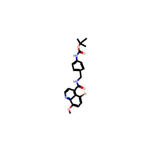 COc1ccc(Br)c2c(C(=O)NCc3ccc(NC(=O)OC(C)(C)C)cc3)ccnc12